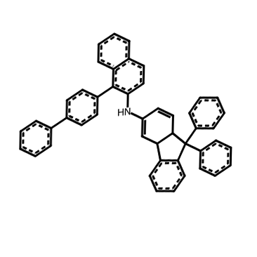 C1=CC2C(C=C1Nc1ccc3ccccc3c1-c1ccc(-c3ccccc3)cc1)c1ccccc1C2(c1ccccc1)c1ccccc1